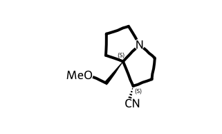 COC[C@@]12CCCN1CC[C@@H]2C#N